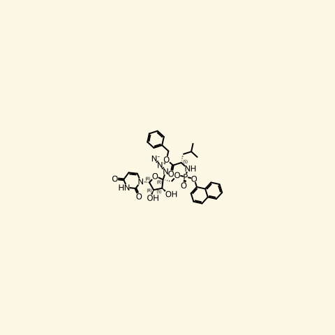 CC(C)C[C@H](NP(=O)(OC[C@@]1(N=[N+]=[N-])O[C@@H](n2ccc(=O)[nH]c2=O)[C@H](O)[C@@H]1O)Oc1cccc2ccccc12)C(=O)OCc1ccccc1